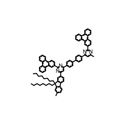 CCCCCCCCC1(CCCCCCCC)c2cc(C)ccc2-c2ccc(-c3cc(-c4ccc(-c5ccc(-c6cc(C)nc(-c7ccc8c9ccccc9c9ccccc9c8c7)n6)cc5)cc4)nc(-c4ccc5c6ccccc6c6ccccc6c5c4)n3)cc21